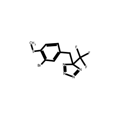 CSc1ccc(CC2(C(F)(F)F)N=NN=N2)cc1Br